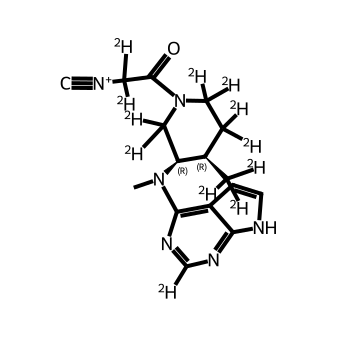 [2H]c1nc(N(C)[C@@H]2[C@H](C([2H])([2H])[2H])C([2H])([2H])C([2H])([2H])N(C(=O)C([2H])([2H])[N+]#[C-])C2([2H])[2H])c2cc[nH]c2n1